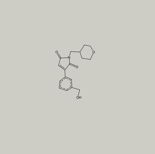 O=C1C=C(c2cccc(CO)c2)C(=O)N1CC1CCOCC1